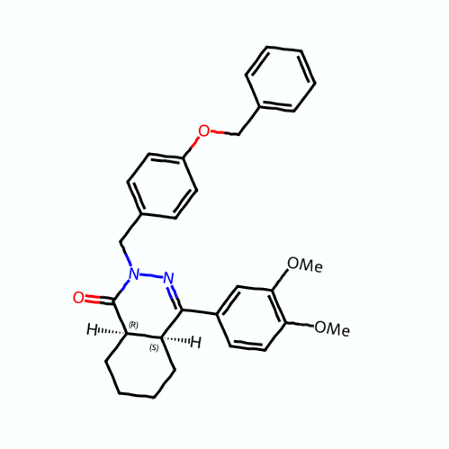 COc1ccc(C2=NN(Cc3ccc(OCc4ccccc4)cc3)C(=O)[C@@H]3CCCC[C@H]23)cc1OC